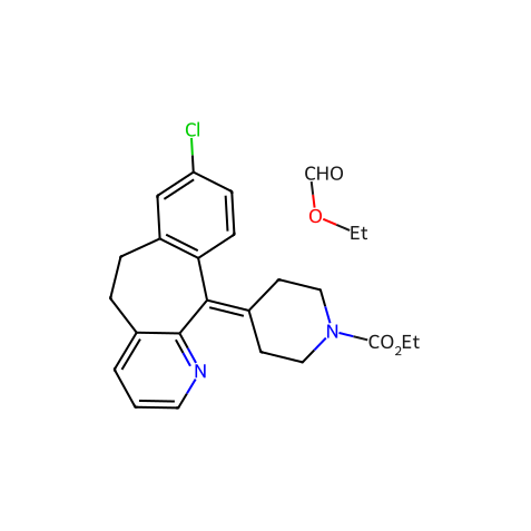 CCOC(=O)N1CCC(=C2c3ccc(Cl)cc3CCc3cccnc32)CC1.CCOC=O